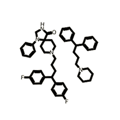 O=C1NCN(c2ccccc2)C12CCN(CCCC(c1ccc(F)cc1)c1ccc(F)cc1)CC2.c1ccc(C(CCCN2CCCCC2)c2ccccc2)cc1